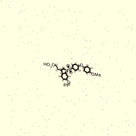 COc1ccc(Oc2ccc(S(=O)(=O)n3cc(CCC(=O)O)c4ccc(OC(C)C)cc43)cc2)cc1